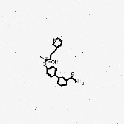 C[C@H](Oc1ccc(-c2cccc(C(N)=O)c2)cc1)[C@H](O)CCc1cccnc1